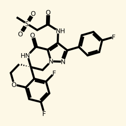 CS(=O)(=O)CC(=O)Nc1c(-c2ccc(F)cc2)nn2c1C(=O)N[C@@]1(CCOc3cc(F)cc(F)c31)C2